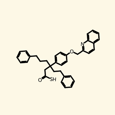 O=C(S)CC(CCCc1ccccc1)(CCc1ccccc1)c1ccc(OCc2ccc3ccccc3n2)cc1